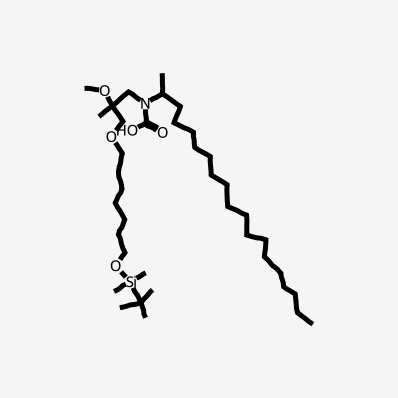 CCCCCCCCCCCCCCCCCC(C)N(CC(C)(COCCCCCCCO[Si](C)(C)C(C)(C)C)OC)C(=O)O